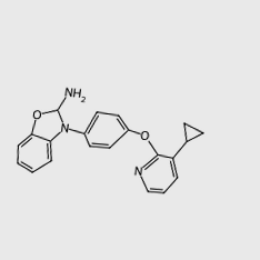 NC1Oc2ccccc2N1c1ccc(Oc2ncccc2C2CC2)cc1